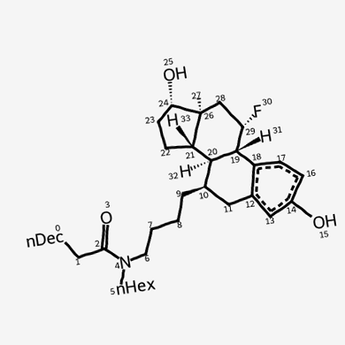 CCCCCCCCCCCC(=O)N(CCCCCC)CCCC[C@@H]1Cc2cc(O)ccc2[C@@H]2[C@@H]1[C@@H]1CC[C@H](O)[C@@]1(C)C[C@@H]2F